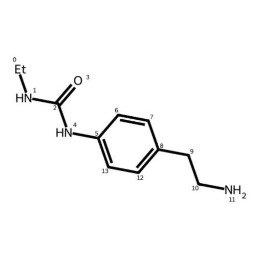 CCNC(=O)Nc1ccc(CCN)cc1